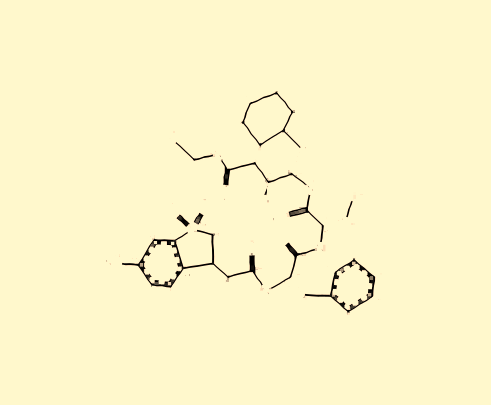 CC(C)CNC(=O)C[C@H](O)[C@H](CC1CCCCC1)NC(=O)[C@H](CC(C)C)NC(=O)[C@H](Cc1ccccc1)NC(=O)CC1CS(=O)(=O)c2cc(C#N)ccc21